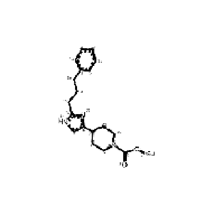 CC(C)(C)OC(=O)N1CCC(c2c[nH]c(CCCc3ccccc3)n2)CC1